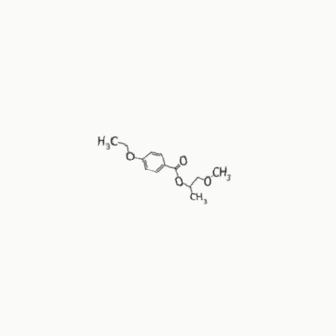 CCOc1ccc(C(=O)OC(C)COC)cc1